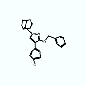 Clc1ccc(-c2cn(C3CN4CCC3CC4)nc2OCc2ccccc2)cc1